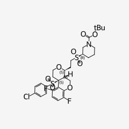 CC(C)(C)OC(=O)N1CCC[C@@H](S(=O)(=O)CC[C@@H]2OCC[C@@]3(S(=O)(=O)c4ccc(Cl)cc4)c4c(F)ccc(F)c4OC[C@@H]23)C1